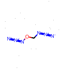 [N-]=[N+]=NCON=[N+]=[N-]